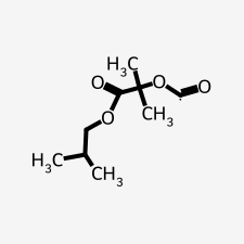 CC(C)COC(=O)C(C)(C)O[C]=O